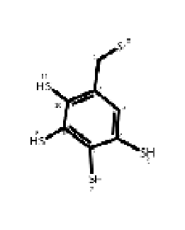 [S]Cc1cc(S)c(S)c(S)c1S